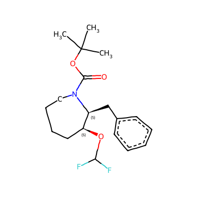 CC(C)(C)OC(=O)N1CCCC[C@H](OC(F)F)[C@@H]1Cc1ccccc1